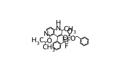 CC(C)Oc1nccc2c1C(c1ccccc1C(F)(F)F)=C(OC(=O)OCc1ccccc1)C(C)N2